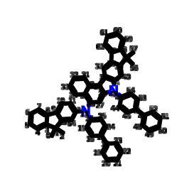 CC1(C)c2ccccc2-c2ccc(N(c3ccc(-c4ccccc4)cc3)c3cc4c(c5ccccc35)c3cc5c(cc3n4-c3ccc(-c4ccccc4)cc3)C(C)(C)c3ccccc3-5)cc21